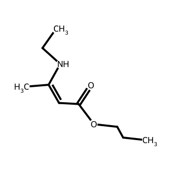 CCCOC(=O)/C=C(/C)NCC